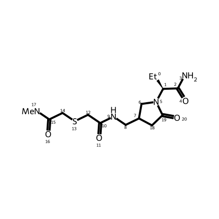 CC[C@@H](C(N)=O)N1CC(CNC(=O)CSCC(=O)NC)CC1=O